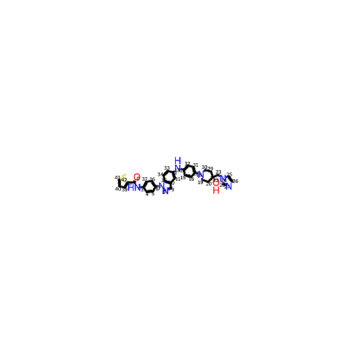 O=C(Nc1ccc(-n2ncc3cc(Nc4ccc(N5CCC(O)(Cn6ccnc6)CC5)cc4)ccc32)cc1)c1cccs1